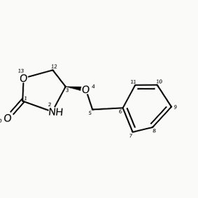 O=C1N[C@H](OCc2ccccc2)CO1